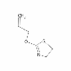 C=CCOC1=NCCS1